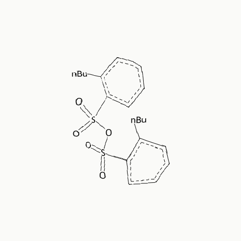 CCCCc1ccccc1S(=O)(=O)OS(=O)(=O)c1ccccc1CCCC